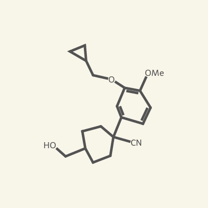 COc1ccc(C2(C#N)CCC(CO)CC2)cc1OCC1CC1